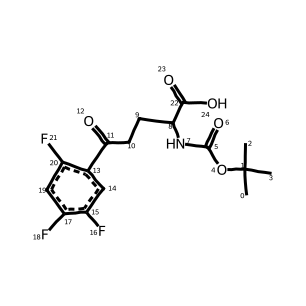 CC(C)(C)OC(=O)NC(CCC(=O)c1cc(F)c(F)cc1F)C(=O)O